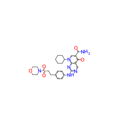 NC(=O)c1cn(C2CCCCC2)c2nc(Nc3ccc(CCS(=O)(=O)N4CCOCC4)cc3)ncc2c1=O